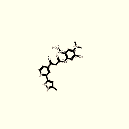 Cc1cc(-c2cc(C(=O)CC(=O)Nc3cc(Cl)c(N(C)C)cc3NC(=O)O)ccn2)on1